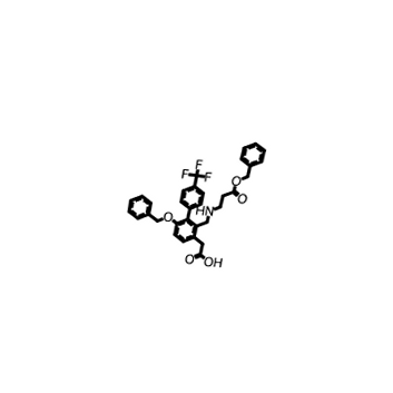 O=C(O)Cc1ccc(OCc2ccccc2)c(-c2ccc(C(F)(F)F)cc2)c1CNCCC(=O)OCc1ccccc1